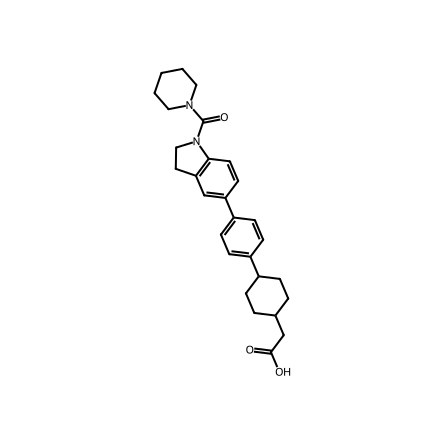 O=C(O)CC1CCC(c2ccc(-c3ccc4c(c3)CCN4C(=O)N3CCCCC3)cc2)CC1